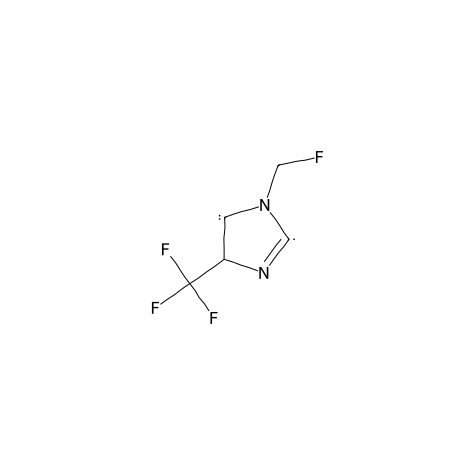 FCN1[C]C(C(F)(F)F)N=[C]1